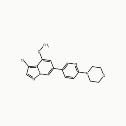 COc1cc(-c2ccc(N3CCOCC3)nc2)cn2ncc(Cl)c12